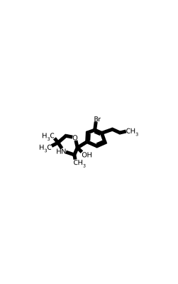 CCCc1ccc(C2(O)OCC(C)(C)NC2C)cc1Br